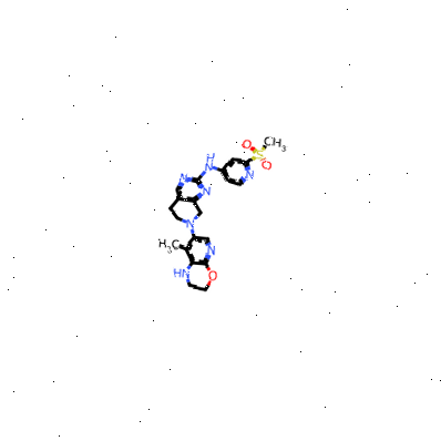 Cc1c(N2CCc3cnc(Nc4ccnc(S(C)(=O)=O)c4)nc3C2)cnc2c1NCCO2